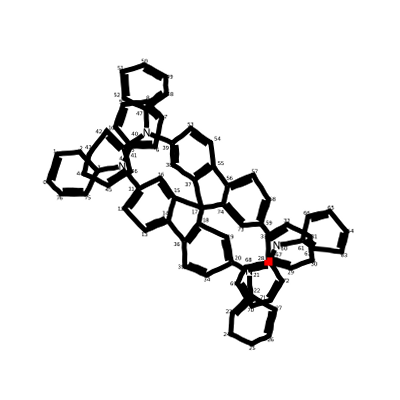 C1=CCC(N(c2ccccc2)c2ccc3c(c2)C2(c4cc(N(C5=CCCC=C5)C5=CCCC=C5)ccc4-3)c3cc(N(C4=CCCC=C4)c4ccccc4)ccc3-c3ccc(N(c4ccccc4)c4ccccc4)cc32)C=C1